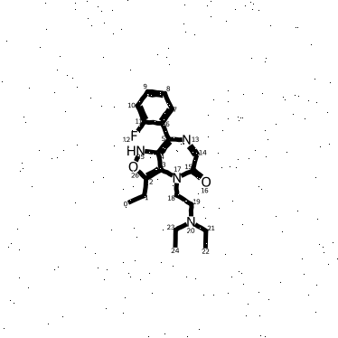 CCC1=C2C(=C(c3ccccc3F)N=CC(=O)N2CCN(CC)CC)NO1